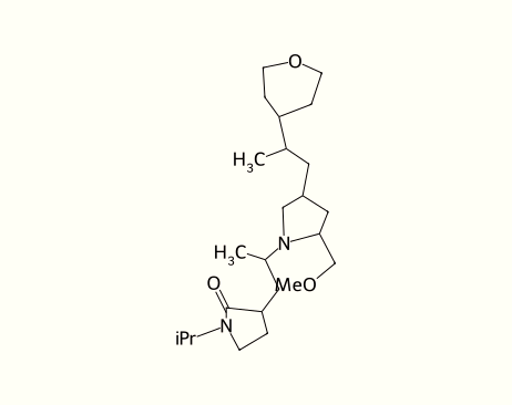 COCC1CC(CC(C)C2CCOCC2)CN1C(C)CC1CCN(C(C)C)C1=O